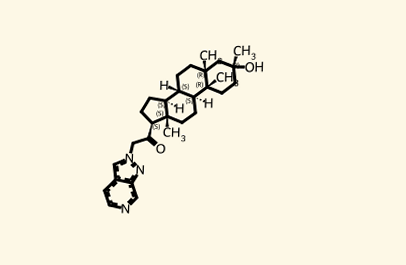 C[C@@]1(O)CC[C@]2(C)[C@H]3CC[C@]4(C)[C@@H](C(=O)Cn5cc6ccncc6n5)CC[C@H]4[C@@H]3CC[C@]2(C)C1